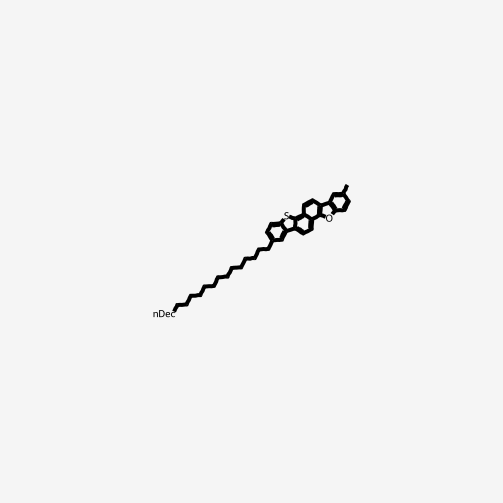 CCCCCCCCCCCCCCCCCCCCCCCCc1ccc2sc3c(ccc4c3ccc3c5cc(C)ccc5oc34)c2c1